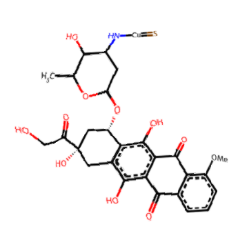 COc1cccc2c1C(=O)c1c(O)c3c(c(O)c1C2=O)C[C@@](O)(C(=O)CO)C[C@@H]3OC1CC([NH][Cu]=[S])C(O)C(C)O1